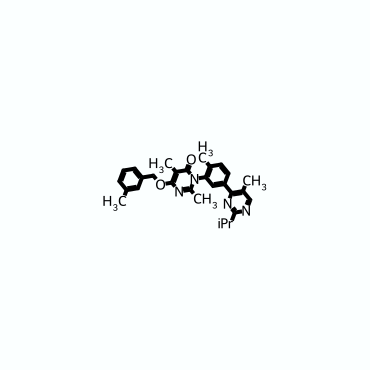 Cc1cccc(COc2nc(C)n(-c3cc(-c4nc(C(C)C)ncc4C)ccc3C)c(=O)c2C)c1